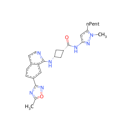 CCCCCc1cc(NC(=O)[C@H]2C[C@@H](Nc3nccc4ccc(-c5noc(C)n5)cc34)C2)nn1C